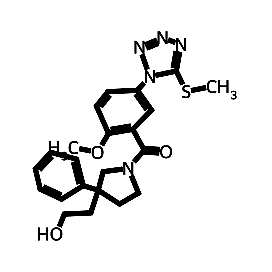 COc1ccc(-n2nnnc2SC)cc1C(=O)N1CCC(CCO)(c2ccccc2)C1